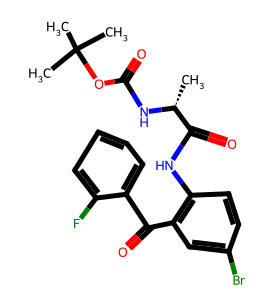 C[C@@H](NC(=O)OC(C)(C)C)C(=O)Nc1ccc(Br)cc1C(=O)c1ccccc1F